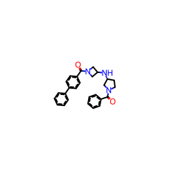 O=C(c1ccc(-c2ccccc2)cc1)N1CC(N[C@H]2CCN(C(=O)c3ccccc3)C2)C1